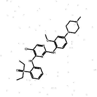 CCP(=O)(CC)c1ccccc1Nc1nc(Nc2ccc(N3CCN(C)CC3)cc2OC)ncc1Cl